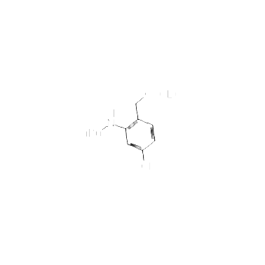 CCOC(=O)Cc1ccc(C)cc1NC(C)CC